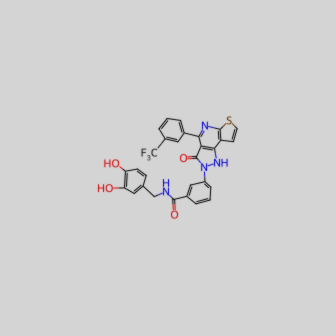 O=C(NCc1ccc(O)c(O)c1)c1cccc(-n2[nH]c3c(c(-c4cccc(C(F)(F)F)c4)nc4sccc43)c2=O)c1